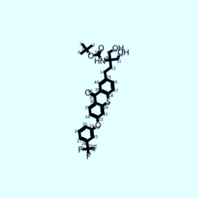 CC(C)(C)OC(=O)NC(CO)(CO)CCc1ccc2sc3cc(Oc4cccc(C(F)(F)F)c4)ccc3c(=O)c2c1